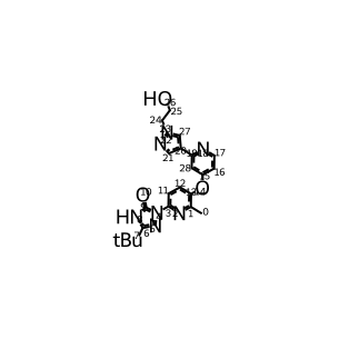 Cc1nc(-n2nc(C(C)(C)C)[nH]c2=O)ccc1Oc1ccnc(-c2cnn(CCO)c2)c1